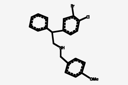 COc1ccc(CNCC(c2ccccc2)c2ccc(Cl)c(Br)c2)cc1